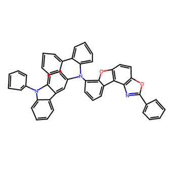 c1ccc(-c2nc3c(ccc4oc5c(N(c6ccc7c(c6)c6ccccc6n7-c6ccccc6)c6ccccc6-c6ccccc6)cccc5c43)o2)cc1